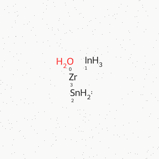 O.[InH3].[SnH2].[Zr]